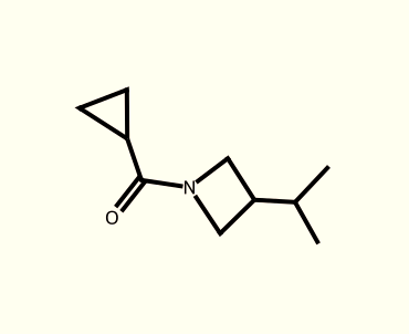 CC(C)C1CN(C(=O)C2CC2)C1